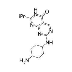 CC(C)c1nc2nc(NC3CCC(N)CC3)ncc2c(=O)[nH]1